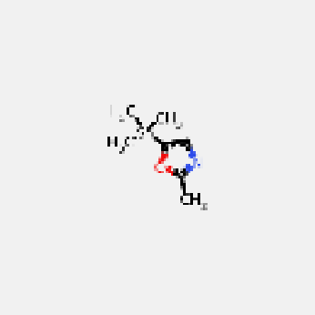 Cc1nc[c]([Sn]([CH3])([CH3])[CH3])o1